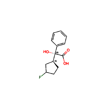 O=C(O)[C@](O)(c1ccccc1)[C@H]1CCC(F)C1